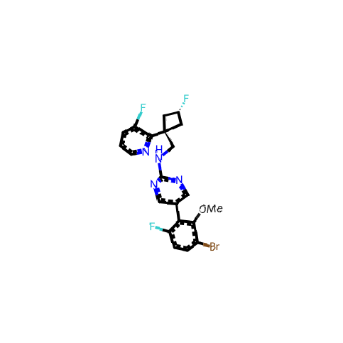 COc1c(Br)ccc(F)c1-c1cnc(NC[C@]2(c3ncccc3F)C[C@@H](F)C2)nc1